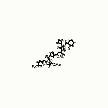 COC(=O)[C@@H](C)C[C@H](Cc1ncc(C(F)(F)F)cn1)NC(=O)c1csc([C@@H](C[C@H](C(C)C)N(C)C(=O)[C@@H](NC(=O)[C@H]2CCCCN2C)C2CCC2)OC(C)=O)n1